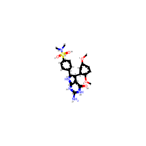 COc1ccc(OC)c(-c2c(-c3ccc(S(=O)(=O)N(C)C)cc3)[nH]c3nc(N)[nH]c(=O)c23)c1